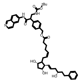 CC(C)(C)OC(=O)NCC(C(=O)Nc1ccc2cnccc2c1)c1ccc(COC(=O)CCC/C=C\CC2[C@@H](/C=C/C[C@@H](O)CCc3ccccc3)[C@H](O)C[C@@H]2O)cc1